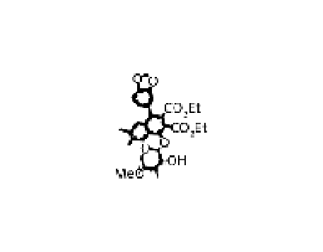 CCOC(=O)c1c(C(=O)OCC)c(-c2ccc3c(c2)OCO3)c2cc(C)c(C)cc2c1OC1OC[C@@H](OC)[C@H](C)[C@H]1O